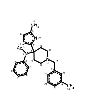 CC(=O)N(c1ccccc1)C1(c2nc(C)cs2)CCN(Cc2cccc(C(F)(F)F)c2)CC1